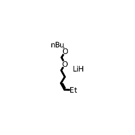 [CH2]C/C=C\CCOCOCCCC.[LiH]